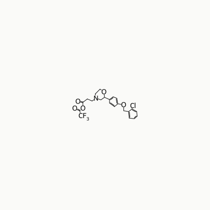 O=C(CCN1CCOC(c2ccc(OCc3ccccc3Cl)cc2)C1)OC(=O)C(F)(F)F